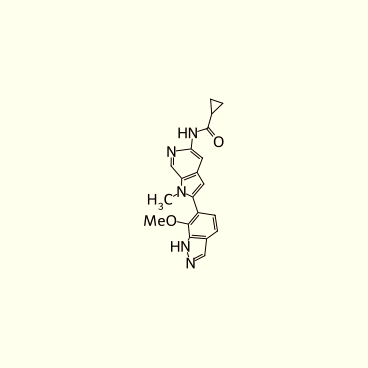 COc1c(-c2cc3cc(NC(=O)C4CC4)ncc3n2C)ccc2cn[nH]c12